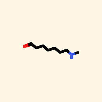 CNCCCCCCC=O